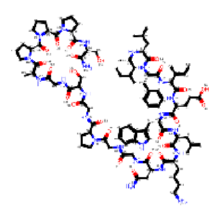 CCC(C)C[C@H](C)N[C@@H](CC(C)C)C(=O)N[C@@H](Cc1ccccc1)C(=O)N[C@H](C(=O)N[C@@H](CCC(=O)O)C(=O)N[C@@H](Cc1c[nH]c2ccccc12)C(=O)N[C@@H](CC(C)C)C(=O)N[C@@H](CCCCN)C(=O)N[C@@H](CC(N)=O)C(=O)NCC(=O)NCC(=O)N1CCCC1C(=O)NCC(=O)NC(CO)C(=O)NCC(=O)N[C@@H](C)C(=O)N1CCC[C@H]1C(=O)N1CCC[C@H]1C(=O)N1CCC[C@H]1C(=O)N[C@@H](CO)C(N)=O)C(C)CC